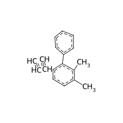 C#C.C#C.Cc1cccc(-c2ccccc2)c1C